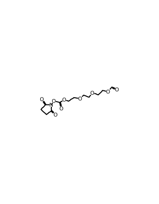 O=COCCOCCOCCOC(=O)ON1C(=O)CCC1=O